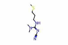 CSCCCN/C(=N/C#N)N(C)C